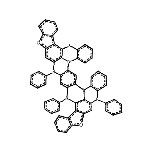 c1ccc(N2c3cc4c(cc3B3c5ccccc5Sc5c3c2cc2oc3ccccc3c52)B2c3ccccc3N(c3ccccc3)c3cc5oc6ccccc6c5c(c32)N4c2ccccc2)cc1